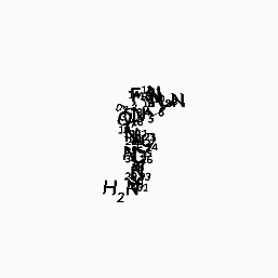 CC1CN(c2ccc(C#N)n3ncc(F)c23)CC(CN2CC3(C2)OCc2cc(N4CC(C)(N)C4)cnc23)O1